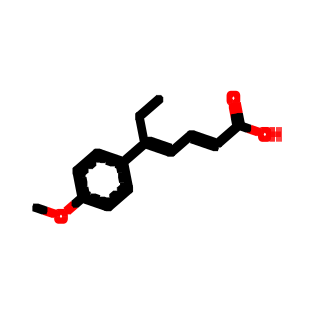 CC/C(=C\C=C\C(=O)O)c1ccc(OC)cc1